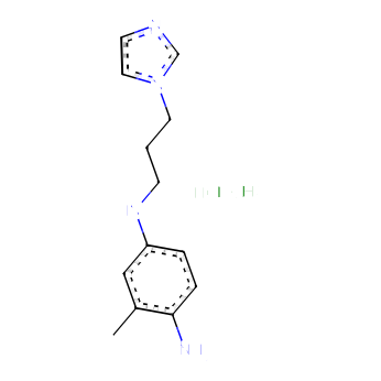 Cc1cc(NCCCn2ccnc2)ccc1N.Cl.Cl.Cl